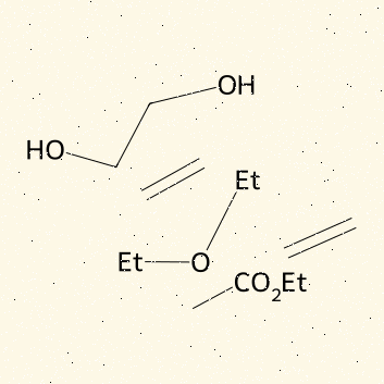 C=C.C=C.CCOC(C)=O.CCOCC.OCCO